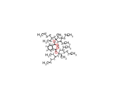 C=CC(CC(CC)CCCC)(CC(CC)CCCC)OC(=O)c1ccccc1C(=O)OC(C=C)(CC(CC)CCCC)CC(CC)CCCC